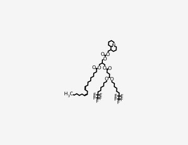 CCCCC/C=C\C/C=C\CCCCCCCC(=O)OCC(COC(=O)CCC(OCCCCCCC(F)(F)C(F)(F)F)OCCCCCCC(F)(F)C(F)(F)F)COC(=O)OCC1CCCN2CCCCC12